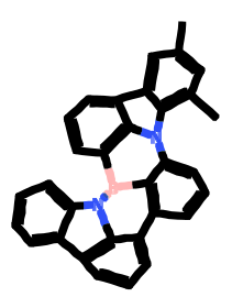 Cc1cc(C)c2c(c1)c1cccc3c1n2-c1cccc2c1B3n1c3ccccc3c3cccc-2c31